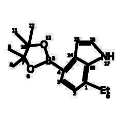 CCc1ccc(B2OC(C)(C)C(C)(C)O2)c2cc[nH]c12